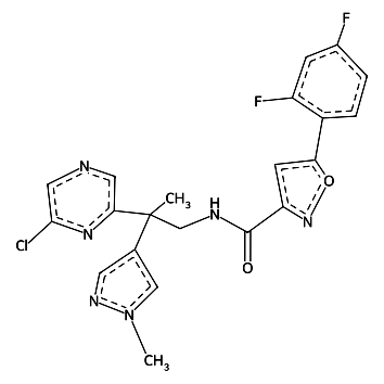 Cn1cc(C(C)(CNC(=O)c2cc(-c3ccc(F)cc3F)on2)c2cncc(Cl)n2)cn1